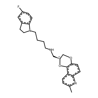 Cc1ccc2c3c(ccc2n1)OC[C@H](CNCCCCN1CCc2cc(F)ccc21)O3